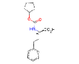 O=C(N[C@H](CCc1ccccc1)C(=O)O)OC1CCCC1